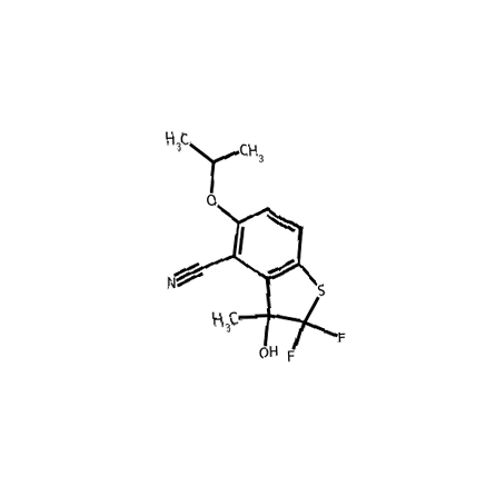 CC(C)Oc1ccc2c(c1C#N)C(C)(O)C(F)(F)S2